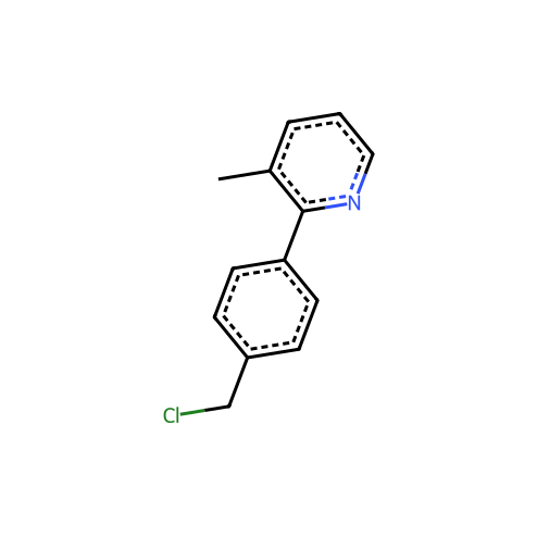 Cc1cccnc1-c1ccc(CCl)cc1